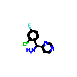 NC(c1ccncn1)c1ccc(F)cc1Cl